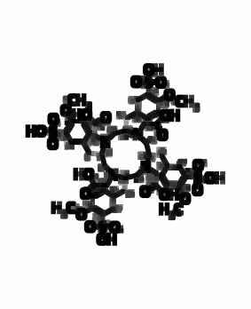 COc1ccc(C[C@H]2CN(CC(=O)O)[C@@H](Cc3ccc(OC)c(S(=O)(=O)O)c3)CN(CC(=O)O)[C@@H](Cc3ccc(OC)c(S(=O)(=O)O)c3)CN(CC(=O)O)[C@@H](Cc3ccc(OC)c(S(=O)(=O)O)c3)CN2CC(=O)O)cc1S(=O)(=O)O